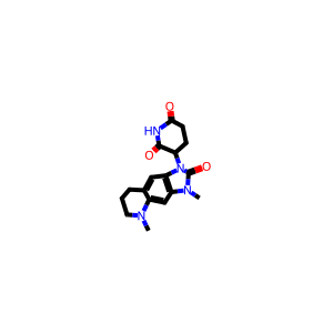 CN1CCCc2cc3c(cc21)n(C)c(=O)n3C1CCC(=O)NC1=O